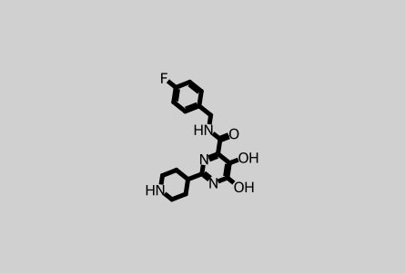 O=C(NCc1ccc(F)cc1)c1nc(C2CCNCC2)nc(O)c1O